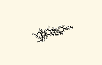 CC(=O)N1C[C@@H](C)C[C@H]2O[C@]3(CC[C@@H]4C(=C(C)C3)C[C@H]3[C@H]4CC[C@@H]4CC(O)CC[C@@]43C)[C@H](C)[C@@H]21